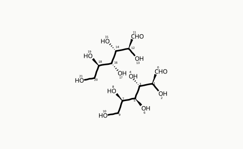 O=C[C@@H](O)[C@@H](O)[C@@H](O)[C@H](O)CO.O=C[C@@H](O)[C@@H](O)[C@H](O)[C@H](O)CO